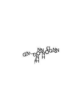 CC#CCNc1cc2c(Nc3ccc(OCc4ccncn4)c(Cl)c3)ncnc2cc1OCCCN1CCOCC1